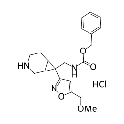 COCc1cc(C2(CNC(=O)OCc3ccccc3)C3CCNCC32)no1.Cl